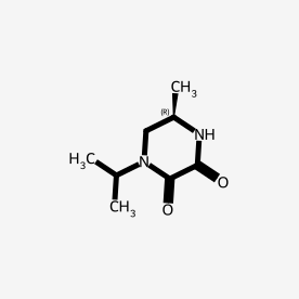 CC(C)N1C[C@@H](C)NC(=O)C1=O